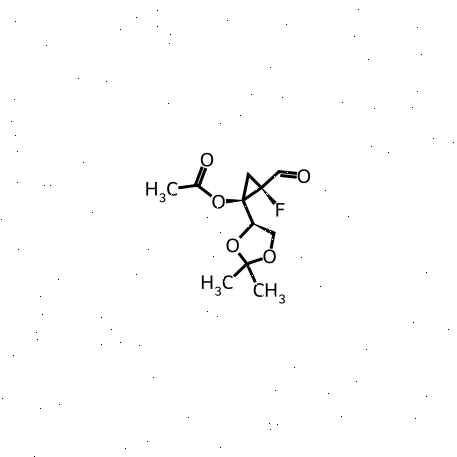 CC(=O)O[C@@]1([C@H]2COC(C)(C)O2)C[C@]1(F)C=O